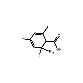 NC1(I)C=C(I)C=C(I)C1C(=O)O